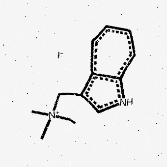 C[N+](C)(C)Cc1c[nH]c2ccccc12.[I-]